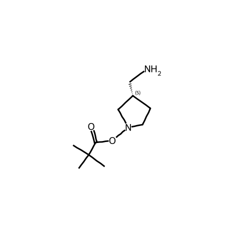 CC(C)(C)C(=O)ON1CC[C@@H](CN)C1